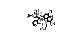 BC(Nc1cc(Cl)c2ncc(C#N)c(NCC(C)(C)C)c2c1)(C1=CN(C2CC2)NN1)c1cccnc1C